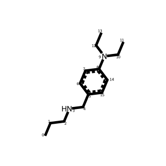 CCCNCc1ccc(N(CC)CC)cc1